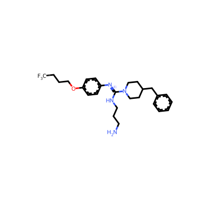 NCCCN/C(=N\c1ccc(OCCCC(F)(F)F)cc1)N1CCC(Cc2ccccc2)CC1